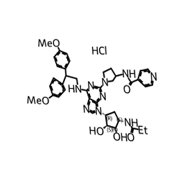 CCC(=O)N[C@H]1C[C@@H](n2cnc3c(NCC(c4ccc(OC)cc4)c4ccc(OC)cc4)nc(N4CCC(NC(=O)c5ccncc5)C4)nc32)[C@H](O)[C@@H]1O.Cl